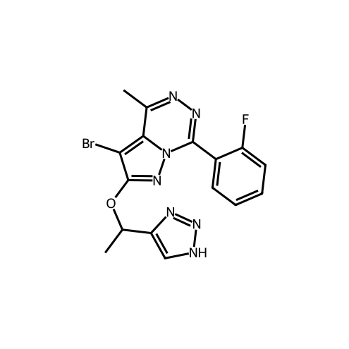 Cc1nnc(-c2ccccc2F)n2nc(OC(C)c3c[nH]nn3)c(Br)c12